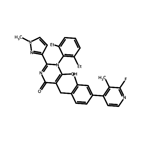 CCc1cccc(CC)c1-n1c(-c2ccn(C)n2)nc(=O)c(Cc2ccc(-c3ccnc(F)c3C)cc2F)c1O